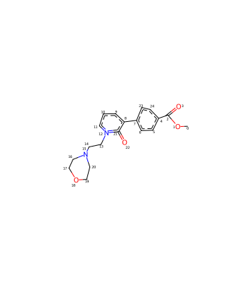 COC(=O)c1ccc(-c2cccn(CCN3CCOCC3)c2=O)cc1